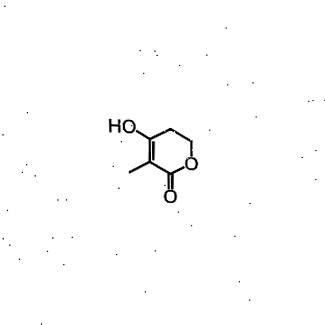 CC1=C(O)CCOC1=O